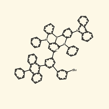 CC(C)(C)c1cccc(-c2cc(-c3cc4c5c(c3)N(c3ccccc3)c3cc(-n6c7ccccc7c7ccccc76)ccc3B5c3ccccc3N4c3ccccc3)cc(-c3c4ccccc4c(-c4ccccc4)c4ccccc34)c2)c1